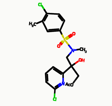 CC(=O)OCC(O)(CN(C)S(=O)(=O)c1ccc(Cl)c(C)c1)c1cccc(Cl)n1